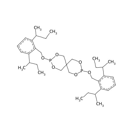 CCC(C)c1cccc(C(C)CC)c1COP1OCC2(CO1)COP(OCc1c(C(C)CC)cccc1C(C)CC)OC2